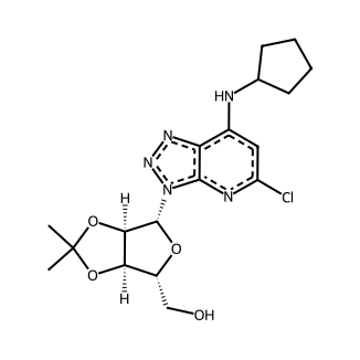 CC1(C)O[C@@H]2[C@H](O1)[C@@H](CO)O[C@H]2n1nnc2c(NC3CCCC3)cc(Cl)nc21